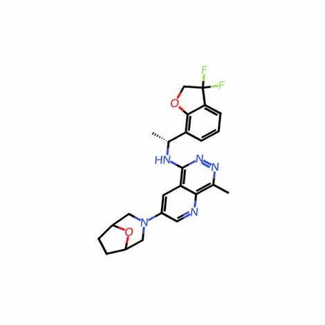 Cc1nnc(N[C@H](C)c2cccc3c2OCC3(F)F)c2cc(N3CC4CCC(C3)O4)cnc12